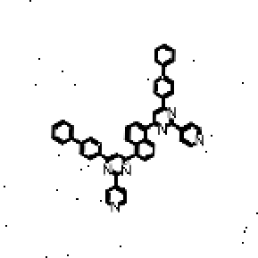 c1ccc(-c2ccc(-c3cc(-c4cccc5c(-c6cc(-c7ccc(-c8ccccc8)cc7)nc(-c7ccncc7)n6)cccc45)nc(-c4ccncc4)n3)cc2)cc1